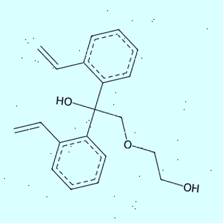 C=Cc1ccccc1C(O)(COCCO)c1ccccc1C=C